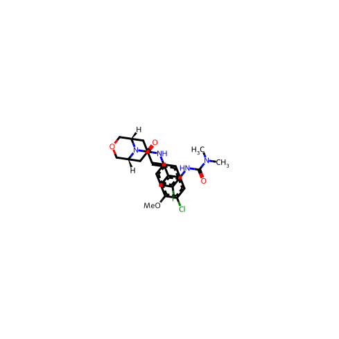 COc1cc(C=CC(=O)N2[C@@H]3COC[C@H]2CC(Nc2ccc(F)cc2)C3)c(NC(=O)N(C)C)cc1Cl